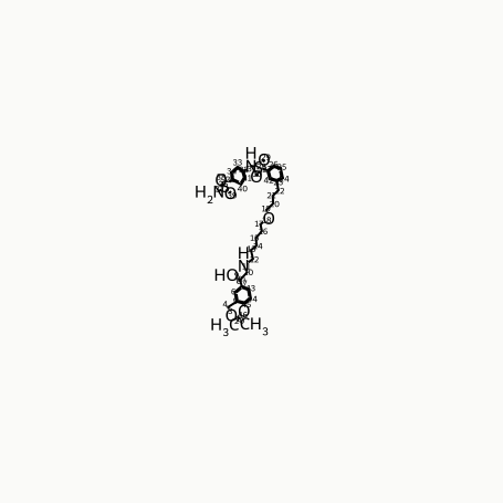 CC1(C)OCc2cc([C@@H](O)CNCCCCCCOCCCCc3cccc(S(=O)(=O)Nc4ccc(S(N)(=O)=O)cc4)c3)ccc2O1